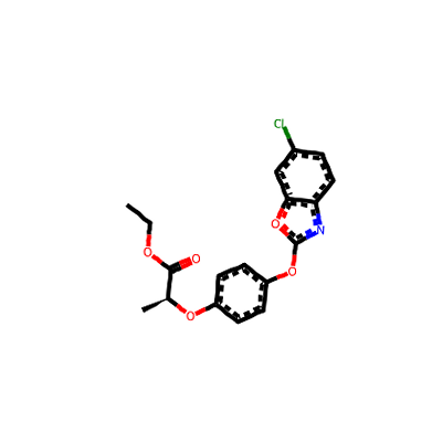 CCOC(=O)[C@H](C)Oc1ccc(Oc2nc3ccc(Cl)cc3o2)cc1